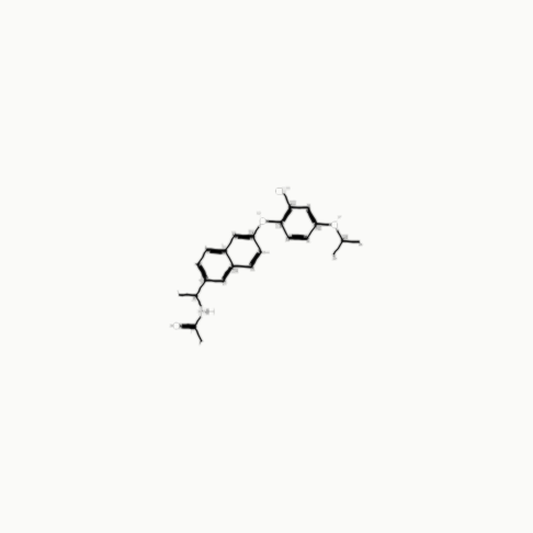 CC(=O)NC(C)c1ccc2cc(Oc3ccc(OC(C)C)cc3Cl)ccc2c1